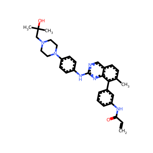 C=CC(=O)Nc1cccc(-c2c(C)ccc3cnc(Nc4ccc(N5CCN(CC(C)(C)O)CC5)cc4)nc23)c1